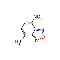 Cc1ccc([N+](=O)[O-])c2nonc12